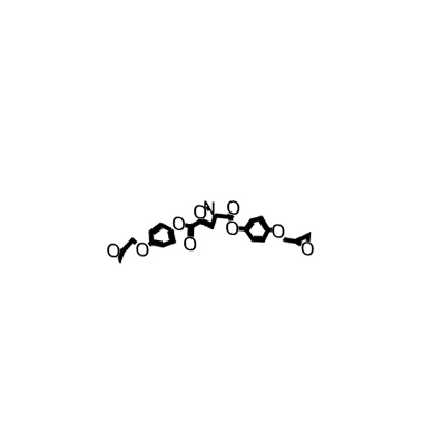 O=C(Oc1ccc(OCC2CO2)cc1)c1cc(C(=O)Oc2ccc(OCC3CO3)cc2)on1